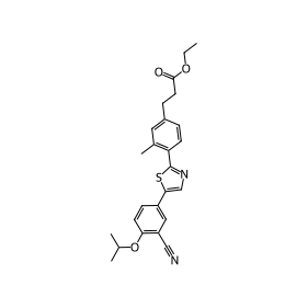 CCOC(=O)CCc1ccc(-c2ncc(-c3ccc(OC(C)C)c(C#N)c3)s2)c(C)c1